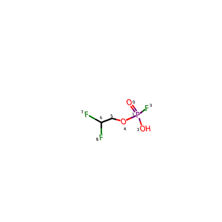 O=P(O)(F)OCC(F)F